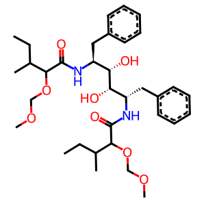 CCC(C)C(OCOC)C(=O)N[C@@H](Cc1ccccc1)[C@H](O)[C@@H](O)[C@H](Cc1ccccc1)NC(=O)C(OCOC)C(C)CC